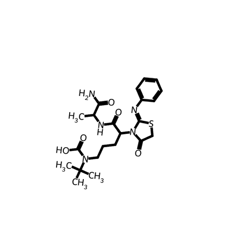 CC(NC(=O)C(CCCN(C(=O)O)C(C)(C)C)N1C(=O)CSC1=Nc1ccccc1)C(N)=O